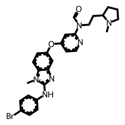 CN1CCCC1CCN(C=O)c1cc(Oc2ccc3c(c2)nc(Nc2ccc(Br)cc2)n3C)ccn1